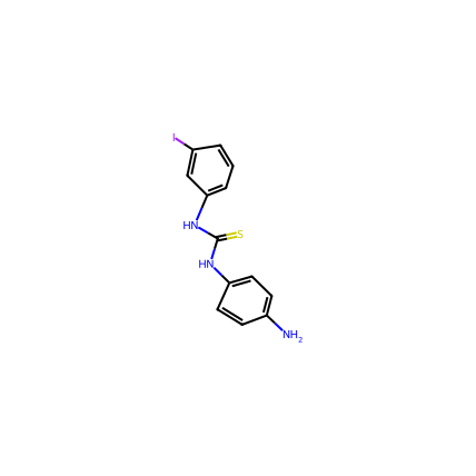 Nc1ccc(NC(=S)Nc2cccc(I)c2)cc1